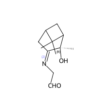 CC1(C)C2C/C(=N/CC=O)[C@](C)(O)C1C2